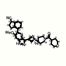 [2H]C1(n2cc(-c3n[nH]c4cc(OC)c(-c5cccc6c5CCC6C#N)nc34)cn2)CCN(C(=O)C2CCOCC2)CC1